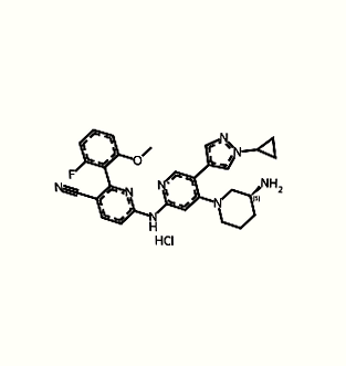 COc1cccc(F)c1-c1nc(Nc2cc(N3CCC[C@H](N)C3)c(-c3cnn(C4CC4)c3)cn2)ccc1C#N.Cl